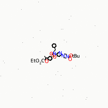 CCOC(=O)c1oc2ccc(S(=O)(=O)N(CCc3ccccc3)c3ccc(N4CCN(C(=O)OC(C)(C)C)CC4)nc3)cc2c1C